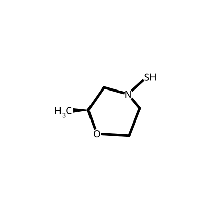 C[C@H]1CN(S)CCO1